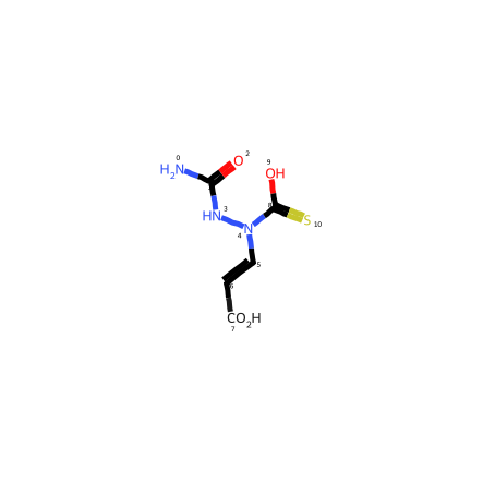 NC(=O)NN(C=CC(=O)O)C(O)=S